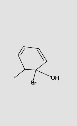 CC1C=CC=CC1(O)Br